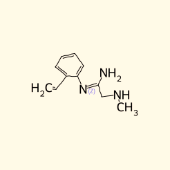 C=Cc1ccccc1/N=C(\N)CNC